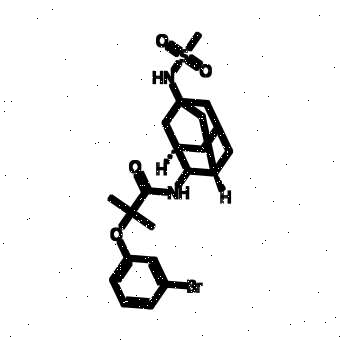 CC(C)(Oc1cccc(Br)c1)C(=O)NC1[C@@H]2CC3C[C@H]1CC(NS(C)(=O)=O)(C3)C2